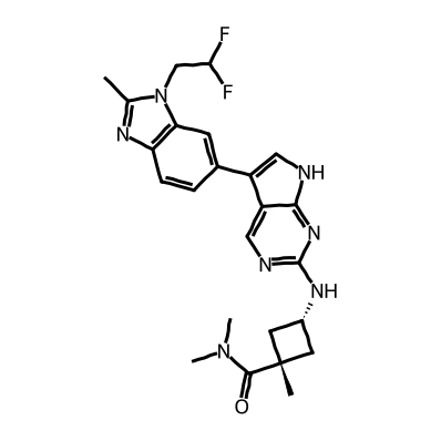 Cc1nc2ccc(-c3c[nH]c4nc(N[C@H]5C[C@@](C)(C(=O)N(C)C)C5)ncc34)cc2n1CC(F)F